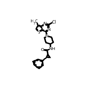 Cc1csc2c(N3CCC(NC(=O)C4CC4c4ccccc4)CC3)nc(Cl)nc12